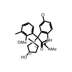 CNC(=O)[C@@H]1C[C@@H](O)C[N+]1(C)C1(c2cccc(C)c2OC)C(=O)Nc2ccc(Cl)cc21